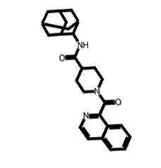 O=C(NC1C2CC3CC(C2)CC1C3)C1CCN(C(=O)c2nccc3ccccc23)CC1